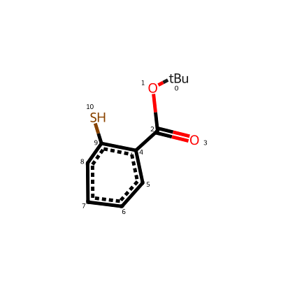 CC(C)(C)OC(=O)c1ccccc1S